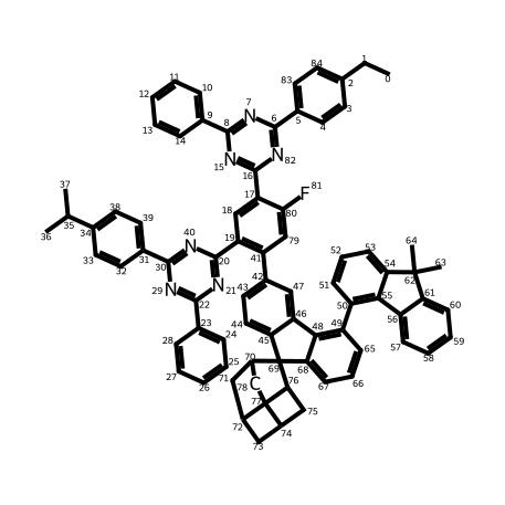 CCc1ccc(-c2nc(-c3ccccc3)nc(-c3cc(-c4nc(-c5ccccc5)nc(-c5ccc(C(C)C)cc5)n4)c(-c4ccc5c(c4)-c4c(-c6cccc7c6-c6ccccc6C7(C)C)cccc4C54C5CC6CC7CC4C67C5)cc3F)n2)cc1